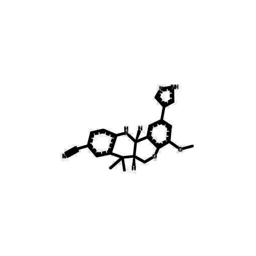 COc1cc(-c2cn[nH]c2)cc2c1OC[C@H]1[C@@H]2Nc2ccc(C#N)cc2C1(C)C